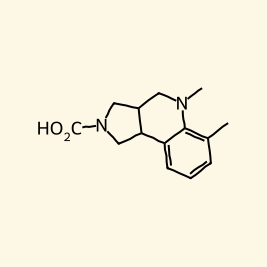 Cc1cccc2c1N(C)CC1CN(C(=O)O)CC21